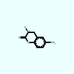 Cc1ccc2c(c1)C[C@H](F)C(=O)O2